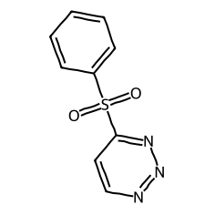 O=S(=O)(c1ccccc1)c1ccnnn1